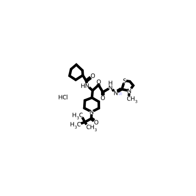 CN1CCS/C1=N\NC(=O)C(=O)C(NC(=O)C1CCCCC1)C1CCN(C(=O)C(C)(C)C)CC1.Cl